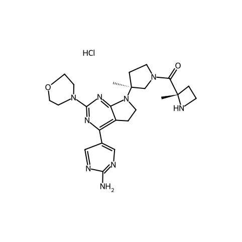 C[C@]1(N2CCc3c(-c4cnc(N)nc4)nc(N4CCOCC4)nc32)CCN(C(=O)[C@]2(C)CCN2)C1.Cl